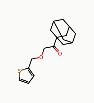 O=C(COCc1cccs1)C12CC3CC(CC(C3)C1)C2